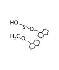 C=COCCc1cccc2ccccc12.OCCSCCOCCc1cccc2ccccc12